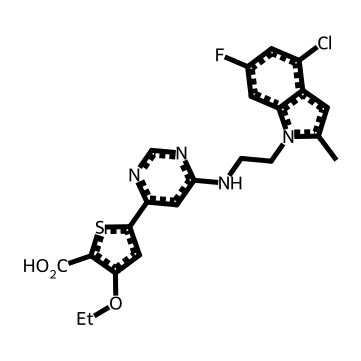 CCOc1cc(-c2cc(NCCn3c(C)cc4c(Cl)cc(F)cc43)ncn2)sc1C(=O)O